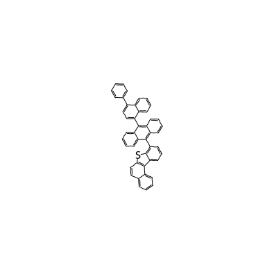 c1ccc(-c2ccc(-c3c4ccccc4c(-c4cccc5c4sc4ccc6ccccc6c45)c4ccccc34)c3ccccc23)cc1